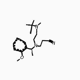 COc1ccccc1[C@H](C)N(CCC#N)CCN(C)C(C)(C)C